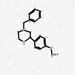 CCCCCCOc1ccc(C2CN(Cc3ccccc3)CCO2)cc1